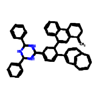 CC1CC=Cc2c1cc(C1CC(C3NC(c4ccccc4)NC(c4ccccc4)N3)=CC=C1C1=CC3=CC(C=CC=C3)C=C1)c1ccccc21